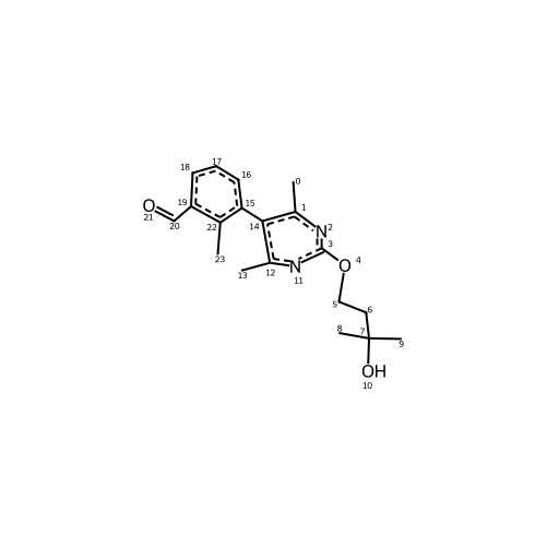 Cc1nc(OCCC(C)(C)O)nc(C)c1-c1cccc(C=O)c1C